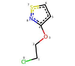 ClCCOc1ccsn1